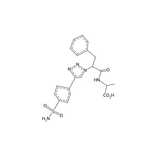 CC(NC(=O)C(Cc1ccccc1)n1cc(-c2ccc(S(N)(=O)=O)cc2)nn1)C(=O)O